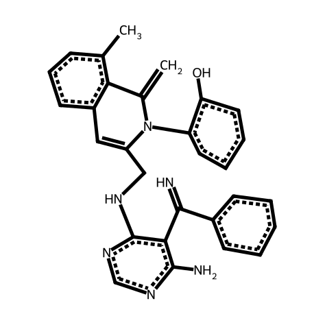 C=C1c2c(C)cccc2C=C(CNc2ncnc(N)c2C(=N)c2ccccc2)N1c1ccccc1O